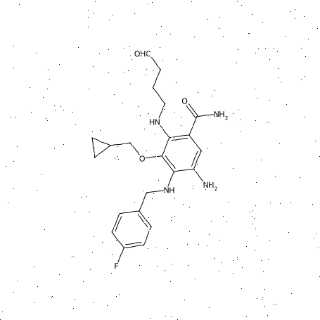 NC(=O)c1cc(N)c(NCc2ccc(F)cc2)c(OCC2CC2)c1NCCCC=O